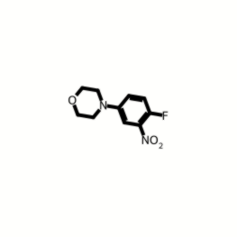 O=[N+]([O-])c1cc(N2CCOCC2)ccc1F